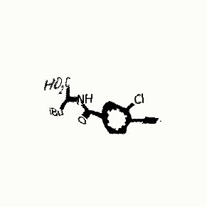 [C]#Cc1ccc(C(=O)NC(C(=O)O)C(C)CC)cc1Cl